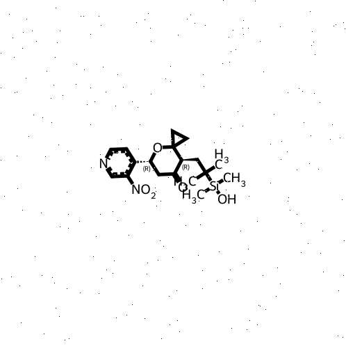 CC(C)(C[C@H]1C(=O)C[C@H](c2ccncc2[N+](=O)[O-])OC12CC2)[Si](C)(C)O